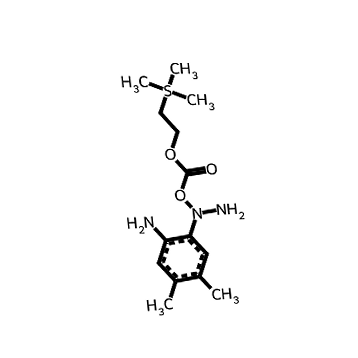 Cc1cc(N)c(N(N)OC(=O)OCCS(C)(C)C)cc1C